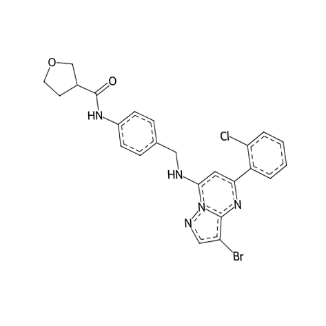 O=C(Nc1ccc(CNc2cc(-c3ccccc3Cl)nc3c(Br)cnn23)cc1)C1CCOC1